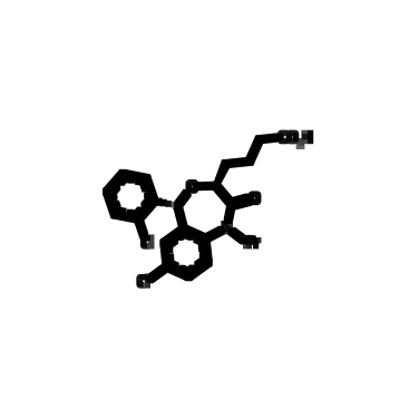 CC(C)N1C(=O)[C@H](CCCC(=O)O)O[C@@H](c2ccccc2Cl)c2cc(Cl)ccc21